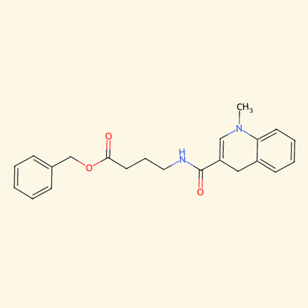 CN1C=C(C(=O)NCCCC(=O)OCc2ccccc2)Cc2ccccc21